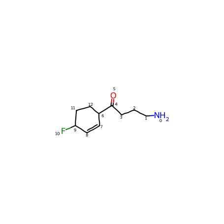 NCCCC(=O)C1C=CC(F)CC1